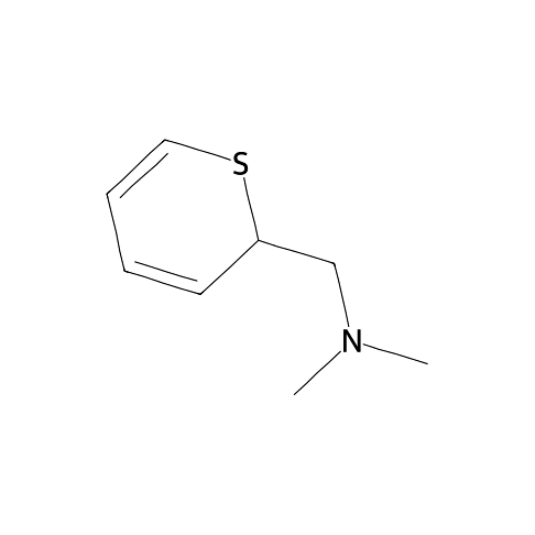 CN(C)CC1C=CC=CS1